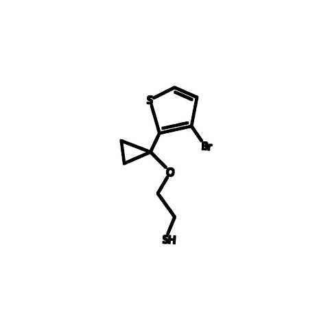 SCCOC1(c2sccc2Br)CC1